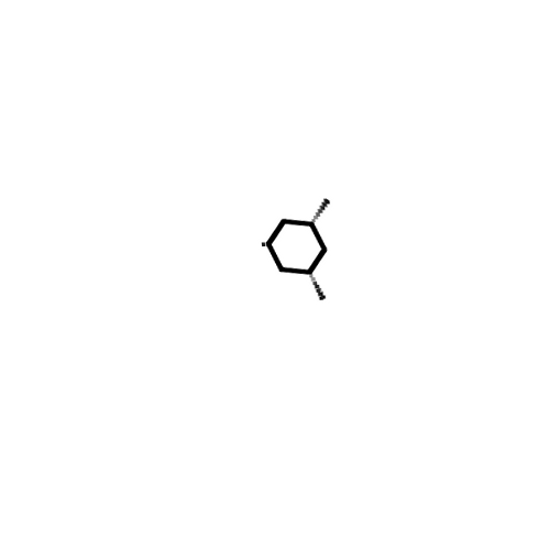 C[C@@H]1C[CH]C[C@H](C)C1